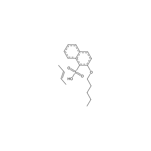 CC=CC.CCCCCOc1ccc2ccccc2c1S(=O)(=O)O